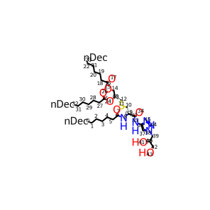 CCCCCCCCCCCCCCCC(=O)N[C@H](CSC[C@@H](COC(=O)CCCCCCCCCCCCCCC)OC(=O)CCCCCCCCCCCCCCC)C(=O)Nc1cn(C[C@@H](O)CO)nn1